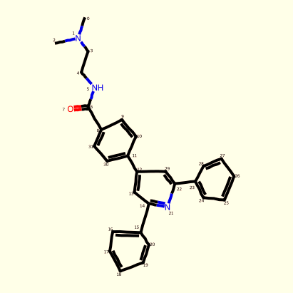 CN(C)CCNC(=O)c1ccc(-c2cc(-c3ccccc3)nc(-c3ccccc3)c2)cc1